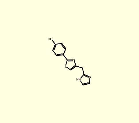 Oc1ccc(-c2nc(Cc3ncc[nH]3)cs2)cc1